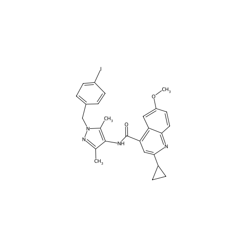 COc1ccc2nc(C3CC3)cc(C(=O)Nc3c(C)nn(Cc4ccc(I)cc4)c3C)c2c1